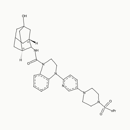 CCCS(=O)(=O)N1CCN(c2ccc(N3CCN(C(=O)NC4[C@@H]5CC6C[C@H]4CC(O)(C6)C5)c4ccccc43)nc2)CC1